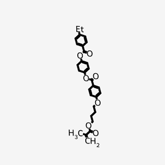 C=C(C)C(=O)OCCCCOc1ccc(C(=O)OC2=CC=C(OC(=O)c3ccc(CC)cc3)CC2)cc1